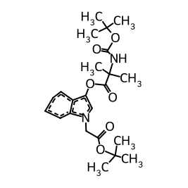 CC(C)(C)OC(=O)Cn1cc(OC(=O)C(C)(C)NC(=O)OC(C)(C)C)c2ccccc21